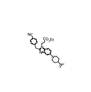 CCOC(=O)CCn1c(Cc2ccc(C#N)cc2)nc2cc(N3CCC(N(C)C)CC3)ccc21